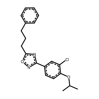 CC(C)Oc1ccc(-c2noc(CCCc3ccccc3)n2)cc1Cl